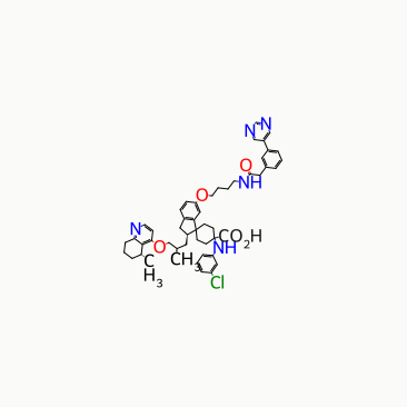 C[C@@H](COc1ccnc2c1[C@H](C)CCC2)C[C@H]1Cc2ccc(OCCCCNC(=O)Cc3cccc(-c4cncnc4)c3)cc2C12CCC(Nc1cccc(Cl)c1)(C(=O)O)CC2